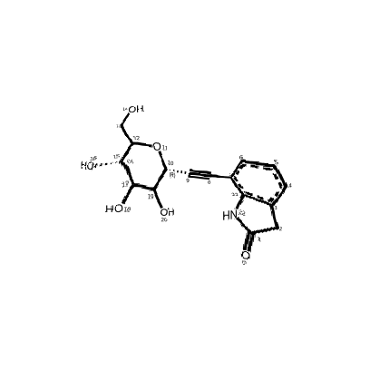 O=C1Cc2cccc(C#C[C@H]3OC(CO)[C@@H](O)C(O)C3O)c2N1